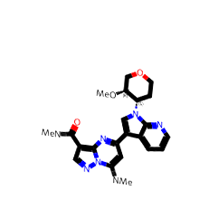 CNC(=O)c1cnn2c(NC)cc(-c3cn([C@H]4CCOC[C@@H]4OC)c4ncccc34)nc12